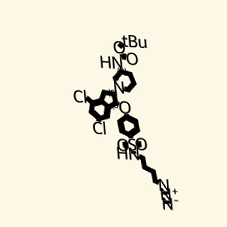 CC(C)(C)OC(=O)N[C@@H]1CCCN([C@H]2Cc3c(Cl)cc(Cl)cc3[C@@H]2Oc2ccc(S(=O)(=O)NCCCCN=[N+]=[N-])cc2)C1